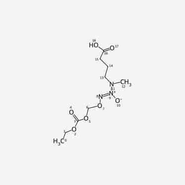 CCOC(=O)OCON=[N+]([O-])N(C)CCCC(=O)O